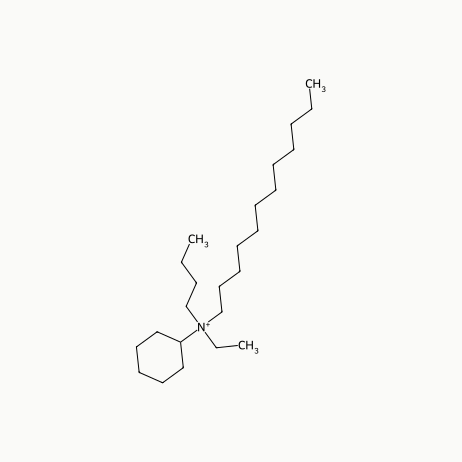 CCCCCCCCCCCC[N+](CC)(CCCC)C1CCCCC1